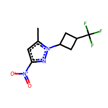 Cc1cc([N+](=O)[O-])nn1C1CC(C(F)(F)F)C1